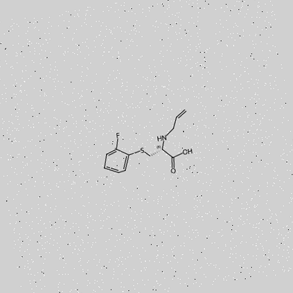 C=CCN[C@@H](CSc1ccccc1F)C(=O)O